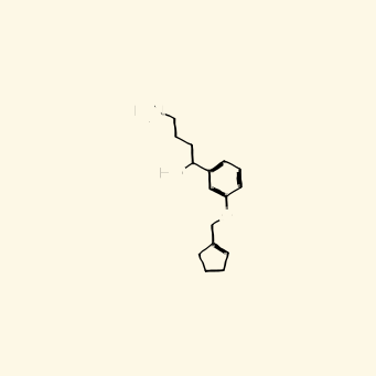 NCCCC(O)c1cccc(OCC2=CCCC2)c1